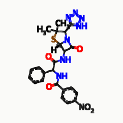 CC1(C)S[C@H]2C(NC(=O)C(NC(=O)c3ccc([N+](=O)[O-])cc3)c3ccccc3)C(=O)N2C1c1nnn[nH]1